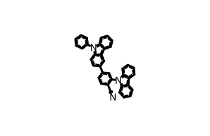 N#Cc1ccc(-c2ccc3c(c2)c2ccccc2n3-c2ccccc2)cc1-n1c2ccccc2c2ccccc21